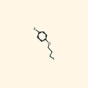 Fc1ccc(OCCCI)cc1